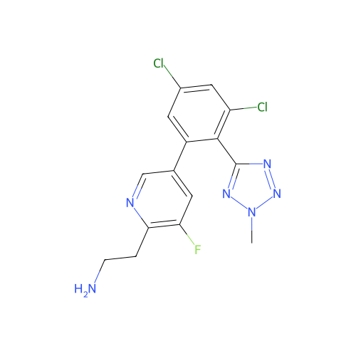 Cn1nnc(-c2c(Cl)cc(Cl)cc2-c2cnc(CCN)c(F)c2)n1